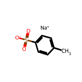 Cc1ccc(S(=O)(=O)[O-])cc1.[Na+]